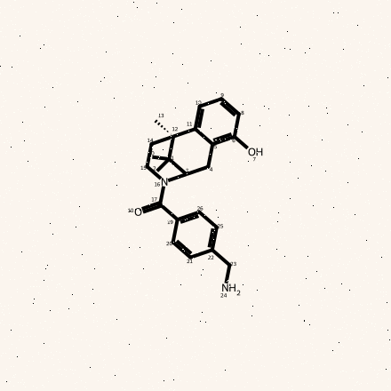 CC1(C)C2Cc3c(O)cccc3[C@]1(C)CCN2C(=O)c1ccc(CN)cc1